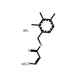 Cc1ccc(COC(=O)/C=C\C(=O)O)c(C)c1C.N